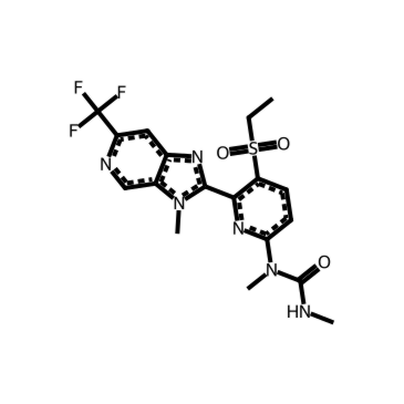 CCS(=O)(=O)c1ccc(N(C)C(=O)NC)nc1-c1nc2cc(C(F)(F)F)ncc2n1C